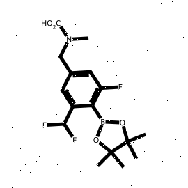 CN(Cc1cc(F)c(B2OC(C)(C)C(C)(C)O2)c(C(F)F)c1)C(=O)O